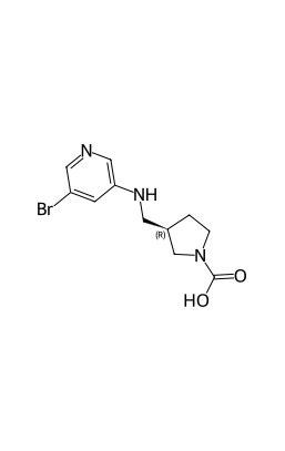 O=C(O)N1CC[C@H](CNc2cncc(Br)c2)C1